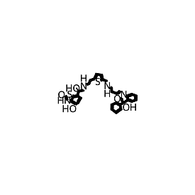 O=c1[nH]c2c(O)ccc([C@@H](O)CNCCc3ccc(CNCCc4cnc(C(O)(c5ccccc5)c5ccccc5)o4)s3)c2s1